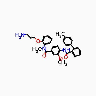 COc1cc(C(=O)N(C)c2ccccc2OCCCN)ccc1NC(=O)c1ccccc1-c1ccc(C)cc1